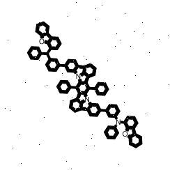 c1ccc(-c2c3c4cccc5c6ccc(-c7cccc(C(c8ccccc8)c8cccc9c8oc8ccccc89)c7)cc6n(c3c(-c3ccccc3)c3c6cccc7c8ccc(-c9cccc(N(c%10ccccc%10)c%10cccc%11c%10oc%10ccccc%10%11)c9)cc8n(c23)c76)c54)cc1